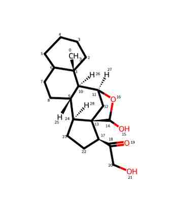 C[C@]12CCCCC1CC[C@@H]1[C@@H]2[C@@H]2C[C@]3(C(O)O2)[C@@H](C(=O)CO)CC[C@@H]13